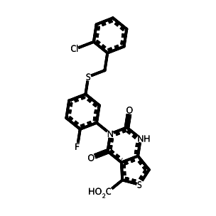 O=C(O)c1scc2[nH]c(=O)n(-c3cc(SCc4ccccc4Cl)ccc3F)c(=O)c12